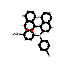 COc1ccc(N(c2ccc(C)cc2)c2ccc3ccccc3c2-c2cccc3ccccc23)cc1